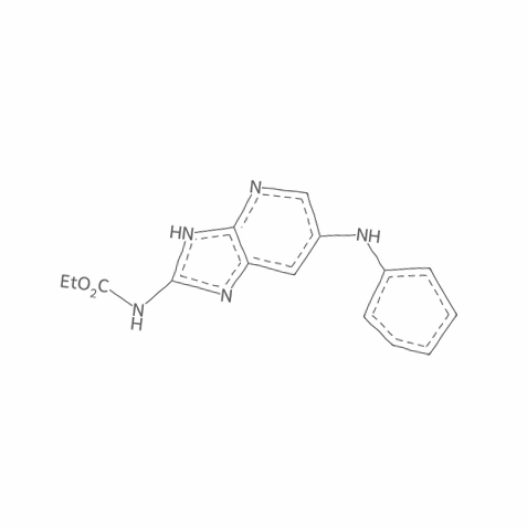 CCOC(=O)Nc1nc2cc(Nc3ccccc3)cnc2[nH]1